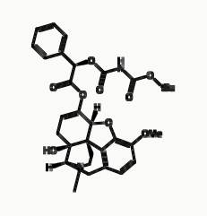 COc1ccc2c3c1O[C@H]1C(OC(=O)[C@H](OC(=O)NC(=O)OC(C)(C)C)c4ccccc4)=CC[C@@]4(O)[C@@H](C2)N(C)CC[C@]314